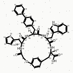 O=C1COc2ccc(cc2)C[C@@H](C(=O)O)NC(=O)[C@H](Cc2c[nH]c3ccccc23)NC(=O)[C@@H](Cc2ccc(-c3ccccc3)cc2)NC(=O)[C@H](Cc2cccs2)N1